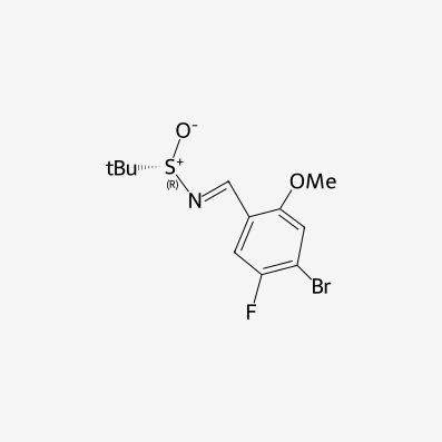 COc1cc(Br)c(F)cc1C=N[S@@+]([O-])C(C)(C)C